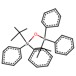 CC(C)(C)[Si](O[Si](c1ccccc1)(c1ccccc1)C(C)(C)C)(c1ccccc1)c1ccccc1